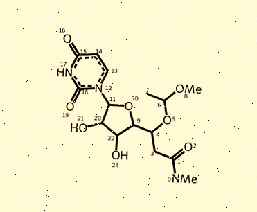 CNC(=O)CC(OC(C)OC)C1OC(n2ccc(=O)[nH]c2=O)C(O)C1O